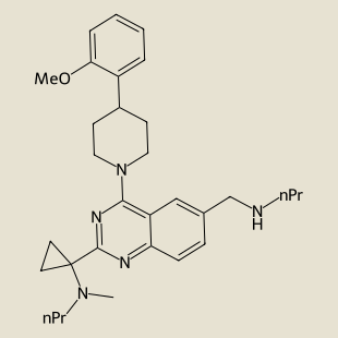 CCCNCc1ccc2nc(C3(N(C)CCC)CC3)nc(N3CCC(c4ccccc4OC)CC3)c2c1